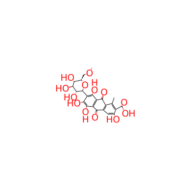 COC[C@H]1OC(c2c(O)c(O)c3c(c2O)C(=O)c2c(cc(O)c(C(=O)O)c2C)C3=O)[C@H](O)[C@@H](O)[C@@H]1O